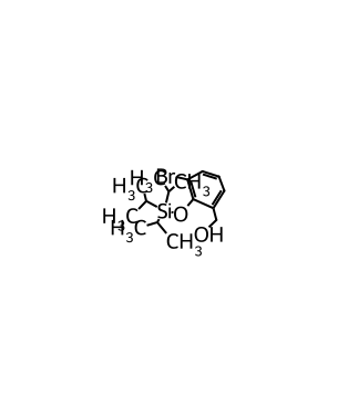 CC(C)[Si](Oc1c(Br)cccc1CO)(C(C)C)C(C)C